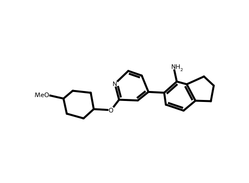 COC1CCC(Oc2cc(-c3ccc4c(c3N)CCC4)ccn2)CC1